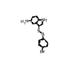 Nc1ccc2[nH]cc(/N=N/c3ccc(Br)cc3)c2c1